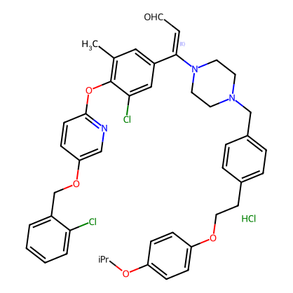 Cc1cc(/C(=C\C=O)N2CCN(Cc3ccc(CCOc4ccc(OC(C)C)cc4)cc3)CC2)cc(Cl)c1Oc1ccc(OCc2ccccc2Cl)cn1.Cl